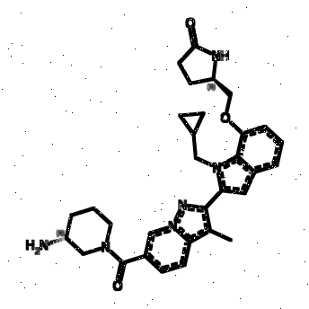 Cc1c(-c2cc3cccc(OC[C@H]4CCC(=O)N4)c3n2CC2CC2)nn2cc(C(=O)N3CCC[C@@H](N)C3)ccc12